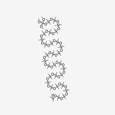 CO[Si](OC)(OC)O[Si](C)(C)O[Si](C)(C)O[Si](C)(C)O[Si](C)(C)O[Si](C)(C)O[Si](C)(C)O[Si](C)(C)O[Si](C)(C)O[Si](C)(C)O[Si](C)(C)O[Si](C)(C)O[Si](C)(C)O[Si](C)(C)O[Si](C)(C)O[Si](C)(C)O[Si](C)(C)O[Si](C)(C)O[Si](C)(C)O[Si](C)(C)O[Si](C)(C)O[Si](C)(C)O[Si](C)(C)O[Si](C)(C)O[Si](C)(C)O[Si](C)(C)O[Si](C)(C)O[Si](C)(C)O[Si](C)(C)O[Si](C)(C)O[SiH](C)C